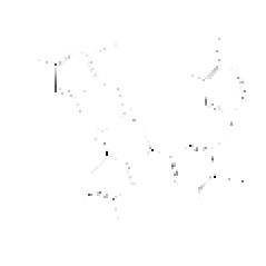 O=C(O[C@@H]1Cc2c(O)cc(O)cc2O[C@@H]1c1ccc(O)c(O)c1)c1cc(O)c(O)c(Oc2ccc(O)c(O)c2)c1